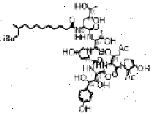 CCC(C)CC(C)CCCCCCCCC(=O)N[C@@H](C[C@@H](O)[C@H](C)O)C(=O)N[C@H](C(=O)N1C[C@H](O)C[C@H]1C(=O)N[C@H](C(=O)N[C@H](C(=O)N1CC[C@H](O)[C@H]1C(C)=O)[C@H](O)CC(C)=O)[C@H](O)[C@@H](O)c1ccc(O)cc1)[C@@H](C)O